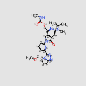 CNC(=O)OCc1nc(N(C)C(C)C)cc2c1CN(c1cccc(-c3nnc4n3[C@@H](COC)CC4)n1)C2=O